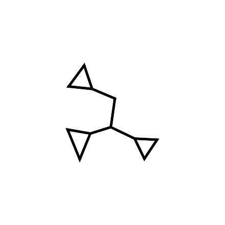 C1CC1C[C](C1CC1)C1CC1